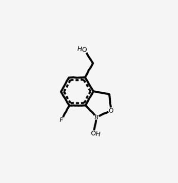 OCc1ccc(F)c2c1COB2O